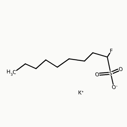 CCCCCCCCC(F)S(=O)(=O)[O-].[K+]